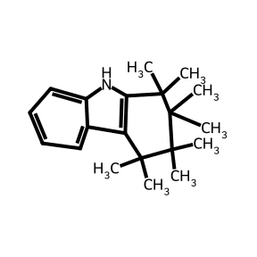 CC1(C)c2[nH]c3ccccc3c2C(C)(C)C(C)(C)C1(C)C